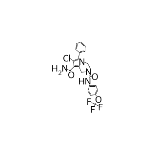 NC(=O)c1c(Cl)c(-c2ccccc2)n2c1CN(C(=O)Nc1ccc(OC(F)(F)F)cc1)CC2